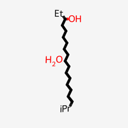 CCC(O)CCCCCCCCCCCCCCC(C)C.O